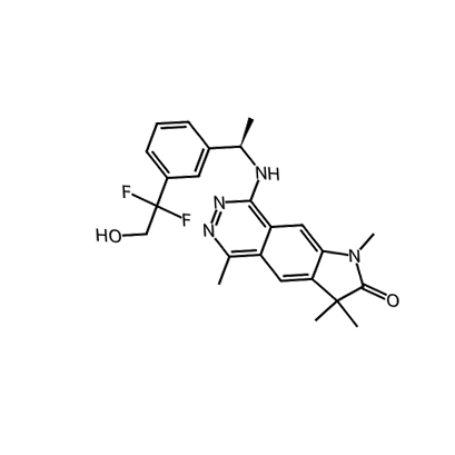 Cc1nnc(N[C@H](C)c2cccc(C(F)(F)CO)c2)c2cc3c(cc12)C(C)(C)C(=O)N3C